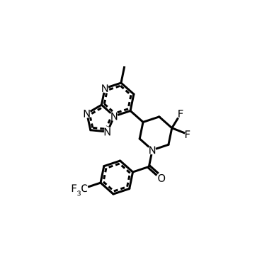 Cc1cc(C2CN(C(=O)c3ccc(C(F)(F)F)cc3)CC(F)(F)C2)n2ncnc2n1